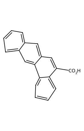 O=C(O)c1cc2cc3ccccc3cc2c2ccccc12